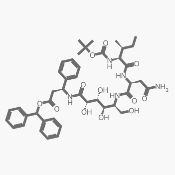 CC[C@H](C)[C@H](NC(=O)OC(C)(C)C)C(=O)N[C@@H](CC(N)=O)C(=O)N[C@@H](CO)[C@@H](O)[C@@H](O)[C@H](O)C(=O)N[C@@H](CC(=O)OC(c1ccccc1)c1ccccc1)c1ccccc1